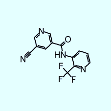 N#Cc1cncc(C(=O)Nc2cccnc2C(F)(F)F)c1